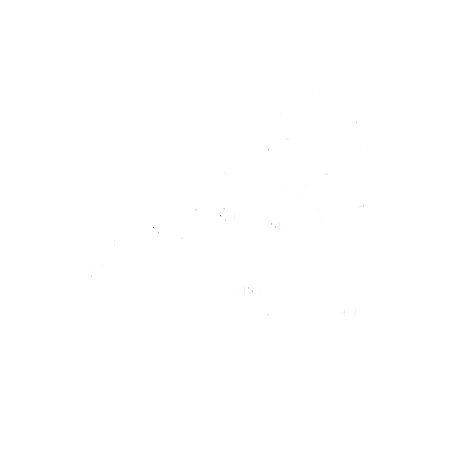 Cl.Cl.O=C1c2ccc(NCCNCCO)c(NCCNCCO)c2C(=O)c2c(O)ccc(O)c21